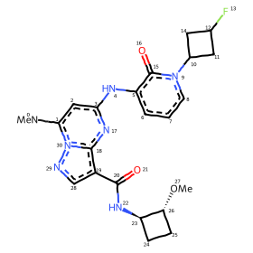 CNc1cc(Nc2cccn(C3CC(F)C3)c2=O)nc2c(C(=O)N[C@@H]3CC[C@H]3OC)cnn12